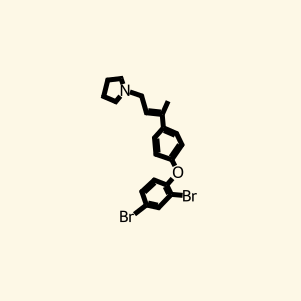 CC(=CCN1CCCC1)c1ccc(Oc2ccc(Br)cc2Br)cc1